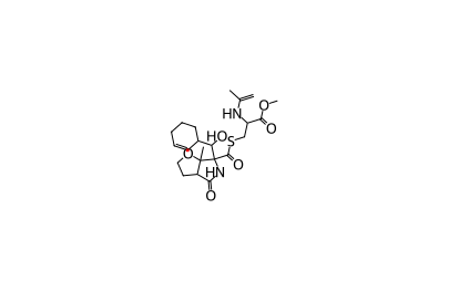 C=C(C)NC(CSC(=O)C1(C(O)C2C=CCCC2)NC(=O)C2CCOC21C)C(=O)OC